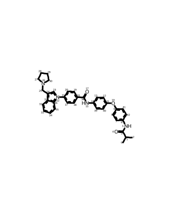 CC(C)C(=O)Nc1ccc(Oc2ccc(NC(=O)c3ccc(-n4cc(CN5CCCC5)c5ccccc54)cc3)cc2)cc1